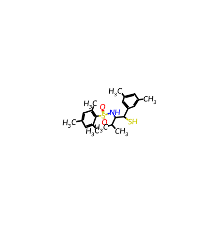 Cc1cc(C)cc(C(S)C(NS(=O)(=O)c2c(C)cc(C)cc2C)C(C)C)c1